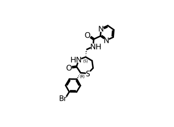 O=C(NC[C@@H]1CCS[C@H](c2ccc(Br)cc2)C(=O)N1)c1ncccn1